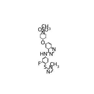 Cn1ccnc1Sc1ccc(Nc2ncnc3ccc(OC4CCN(S(C)(=O)=O)CC4)cc23)cc1F